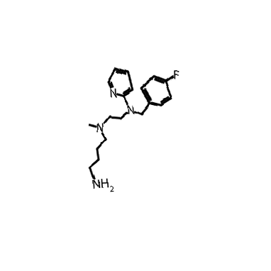 CN(CCCCN)CCN(Cc1ccc(F)cc1)c1ccccn1